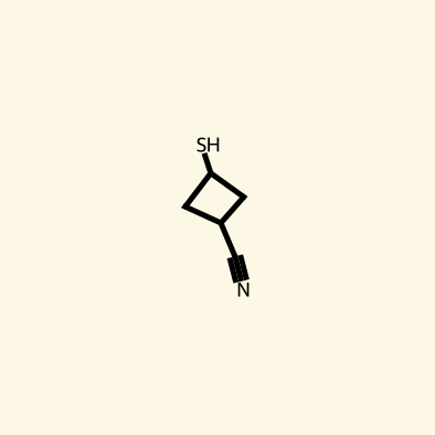 N#CC1CC(S)C1